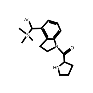 CC(=O)C(c1cccc2c1CCN2C(=O)C1CCCN1)[Si](C)(C)C